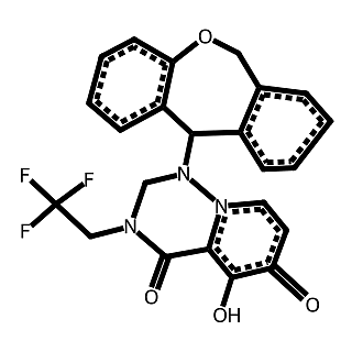 O=C1c2c(O)c(=O)ccn2N(C2c3ccccc3COc3ccccc32)CN1CC(F)(F)F